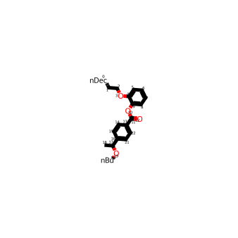 CCCCCCCCCCCCOc1ccccc1OC(=O)c1ccc(C(C)OCCCC)cc1